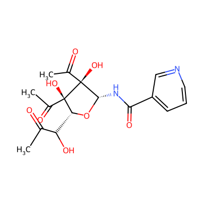 CC(=O)C(O)[C@H]1O[C@@H](NC(=O)c2cccnc2)[C@@](O)(C(C)=O)[C@@]1(O)C(C)=O